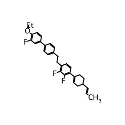 C/C=C/C1CC=C(c2ccc(CCc3ccc(-c4ccc(OCC)c(F)c4)cc3)c(F)c2F)CC1